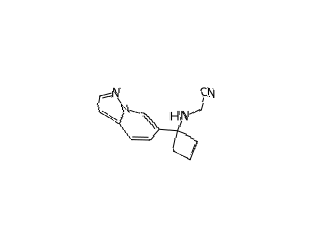 N#CCNC1(c2ccc3ccnn3c2)CCC1